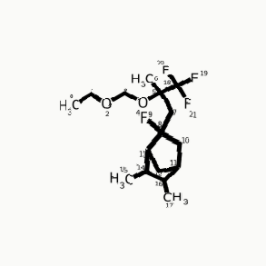 CCOCOC(C)(CC1(F)CC2CC1C(C)C2C)C(F)(F)F